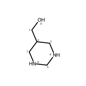 OCC1CNCNC1